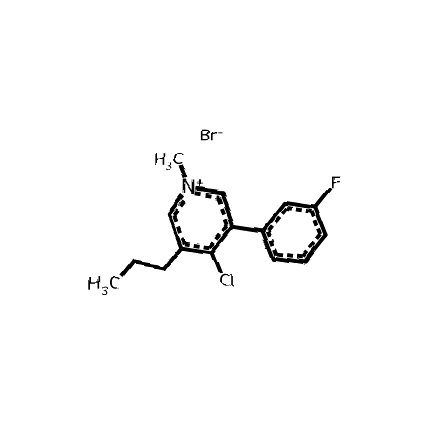 CCCc1c[n+](C)cc(-c2cccc(F)c2)c1Cl.[Br-]